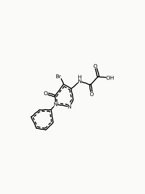 O=C(O)C(=O)Nc1cnn(-c2ccccc2)c(=O)c1Br